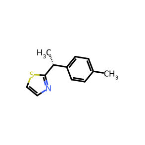 Cc1ccc([C@@H](C)c2nccs2)cc1